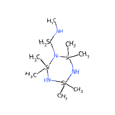 CN[SiH2]N1[Si](C)(C)N[Si](C)(C)N[Si]1(C)C